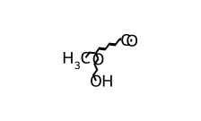 CCC(/C=C/C=C/C=C=O)OCCCO